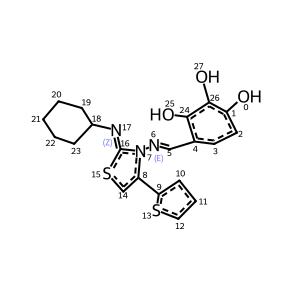 Oc1ccc(/C=N/n2c(-c3cccs3)cs/c2=N\C2CCCCC2)c(O)c1O